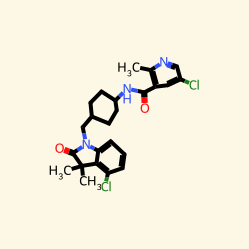 Cc1ncc(Cl)cc1C(=O)NC1CCC(CN2C(=O)C(C)(C)c3c(Cl)cccc32)CC1